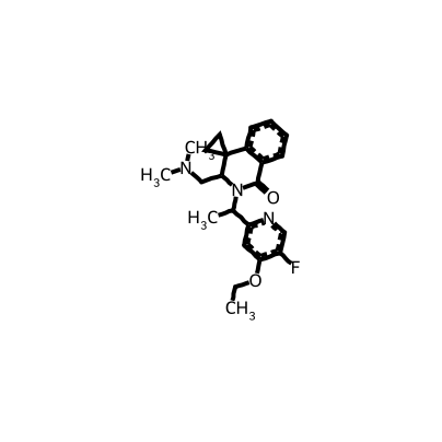 CCOc1cc(C(C)N2C(=O)c3ccccc3C3(CC3)C2CN(C)C)ncc1F